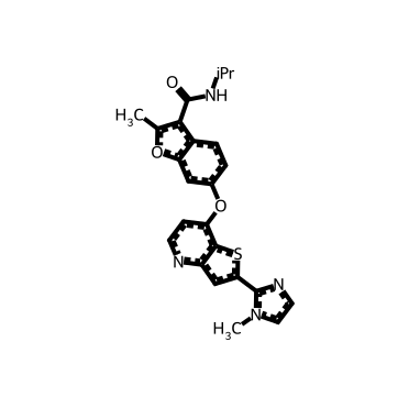 Cc1oc2cc(Oc3ccnc4cc(-c5nccn5C)sc34)ccc2c1C(=O)NC(C)C